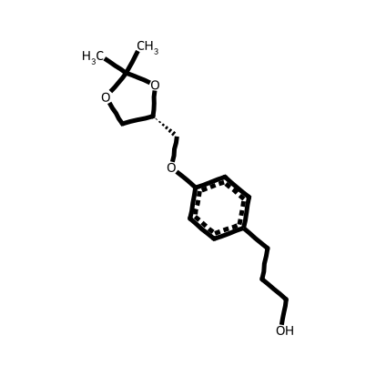 CC1(C)OC[C@@H](COc2ccc(CCCO)cc2)O1